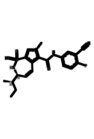 CC[C@H](C)[C@H]1C=Cc2c(cn(C)c2C(=O)Nc2ccc(F)c(C#N)c2)S(=N)(=O)N1